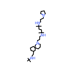 CC(C)(C)NCCC1CCCC2(CCCN(CCCNC(C)(C)CCC(C)(C)NCCCN3CCCC3)C2)C1